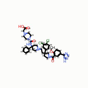 COc1ccc(-c2nnn[nH]2)cc1C(=O)N1CCC(CCN2CCC(NC(=O)N3CCN(CC(=O)O)CC3)(c3ccccc3)CC2)(c2ccc(Cl)c(Cl)c2)C1